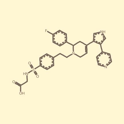 O=C(O)CNS(=O)(=O)c1ccc(CCN2CC=C(c3c[nH]cc3-c3ccncc3)CC2c2ccc(F)cc2)cc1